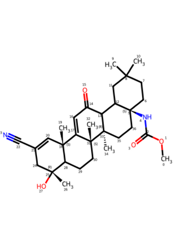 COC(=O)N[C@]12CCC(C)(C)CC1C1C(=O)C=C3[C@@]4(C)C=C(C#N)C[C@@](C)(O)C4CC[C@@]3(C)[C@]1(C)CC2